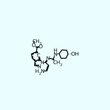 C=C(/N=C(\C=C/N)n1ncc2ccc(C(=O)OC)cc21)N[C@H]1CC[C@H](O)CC1